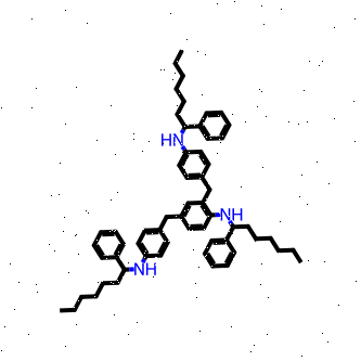 CCCCCCC(Nc1ccc(Cc2ccc(NC(CCCCCC)c3ccccc3)c(Cc3ccc(NC(CCCCCC)c4ccccc4)cc3)c2)cc1)c1ccccc1